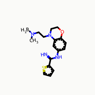 BN(C)CCN1CCOc2ccc(NC(=N)c3cccs3)cc21